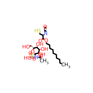 CC(=O)NC1(S(=O)(=O)O)O[C@H](CO)[C@H](O)[C@H](O)[C@H]1O.CCCCCCCCCCOC(=O)C(CS)N=C=O